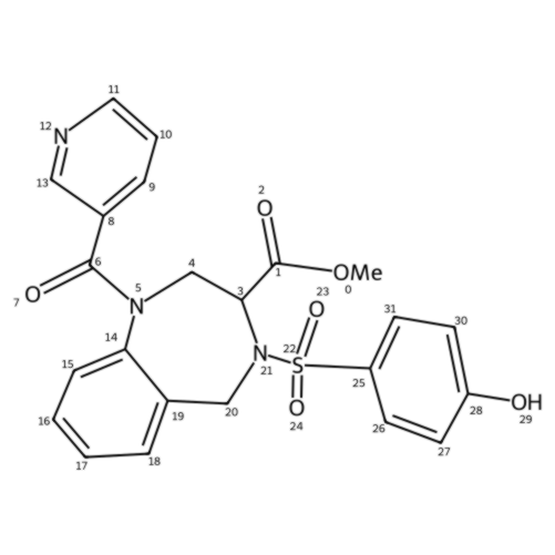 COC(=O)C1CN(C(=O)c2cccnc2)c2ccccc2CN1S(=O)(=O)c1ccc(O)cc1